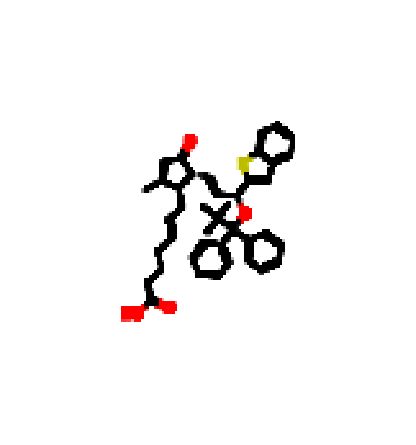 CC1=CC(=O)[C@H](C=C[C@@H](O[Si](c2ccccc2)(c2ccccc2)C(C)(C)C)c2cc3ccccc3s2)[C@H]1CC=CCCCC(=O)O